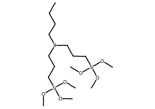 CCCCB(CCC[Si](OC)(OC)OC)CCC[Si](OC)(OC)OC